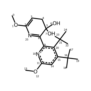 COC1=CCC(O)(O)C(c2nc(OC)cc(C(C)(C)C)c2C(C)(C)C)=N1